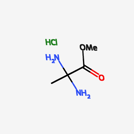 COC(=O)C(C)(N)N.Cl